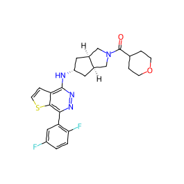 O=C(C1CCOCC1)N1C[C@H]2C[C@H](Nc3nnc(-c4cc(F)ccc4F)c4sccc34)C[C@H]2C1